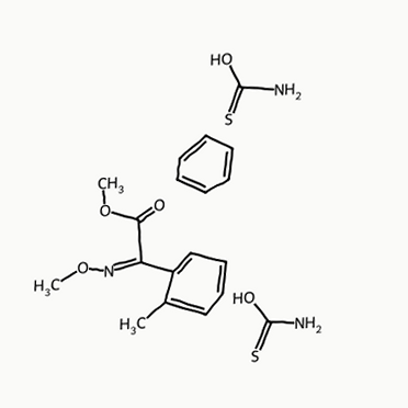 CON=C(C(=O)OC)c1ccccc1C.NC(O)=S.NC(O)=S.c1ccccc1